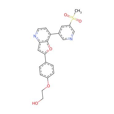 CS(=O)(=O)c1cncc(-c2ccnc3cc(-c4ccc(OCCO)cc4)oc23)c1